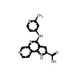 Cc1cc(Nc2nc3cnccc3c3[nH]c(C(=O)O)cc23)ccn1